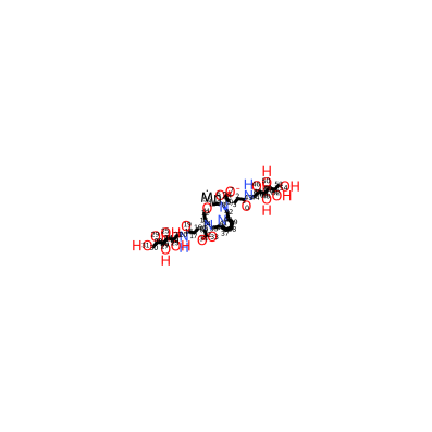 O=C(CC[C@@H](C(=O)[O-])N1CCOCCN([C@@H](CCC(=O)NC[C@H](O)[C@@H](O)[C@H](O)[C@H](O)CO)C(=O)[O-])Cc2cccc(n2)C1)NC[C@H](O)[C@@H](O)[C@H](O)[C@H](O)CO.[Mn+2]